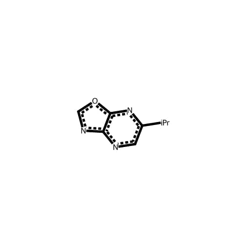 CC(C)c1cnc2ncoc2n1